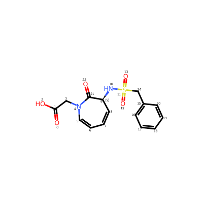 O=C(O)CN1C=CC=C[C@H](NS(=O)(=O)Cc2ccccc2)C1=O